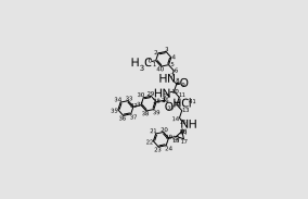 Cc1cccc(CNC(=O)C(CCCCN[C@@H]2C[C@H]2c2ccccc2)NC(=O)c2ccc(-c3ccccc3)cc2)c1.Cl